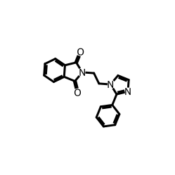 O=C1c2ccccc2C(=O)N1CCn1ccnc1-c1ccccc1